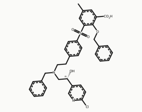 Cc1cc(C(=O)O)c(OCc2ccccc2)c(S(=O)(=O)c2ccc(CCN(Cc3ccccc3)C[C@H](O)c3ccc(Cl)nc3)cc2)c1